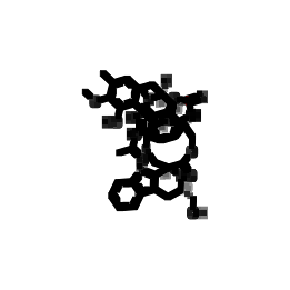 COc1c(C)cc2c(c1O)[C@H]1[C@@H]3[C@@H]4SC[C@]5(N[C@H](CO)Cc6c5[nH]c5ccccc65)C(=O)OC[C@@H](c5c6c(c(C)c(OC(C)=O)c54)OCO6)N3[C@@H](C#N)[C@H](C2)N1C